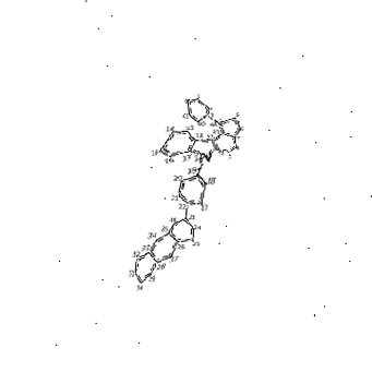 c1ccc(-n2ccc3ccc4c(c5ccccc5n4-c4ccc(-c5ccc6cc7ccccc7cc6c5)cc4)c32)cc1